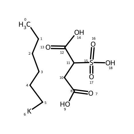 CCCCC[CH2][K].O=C(O)CC(C(=O)O)S(=O)(=O)O